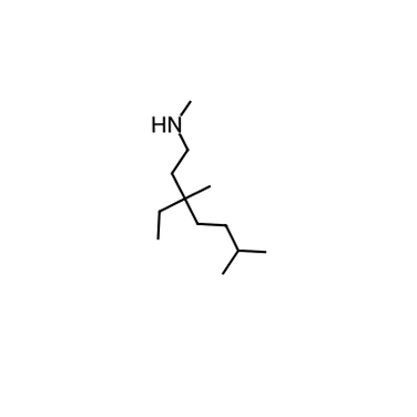 CCC(C)(CCNC)CCC(C)C